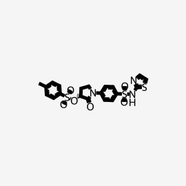 Cc1ccc(S(=O)(=O)O[C@@H]2CCN(c3ccc(S(=O)(=O)Nc4nccs4)cc3)C2=O)cc1